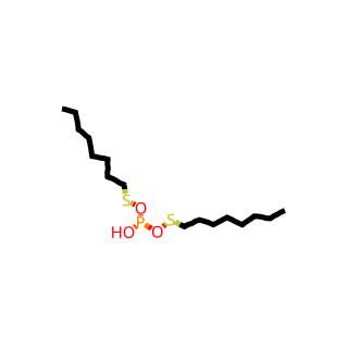 CCCCCCCCSOP(O)OSCCCCCCCC